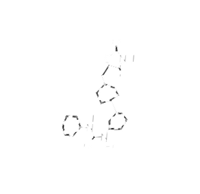 CCN(C(=O)Nc1ccccc1)c1cccc(-c2ccc(/C=C3/SC(=O)NC3=O)cc2)c1